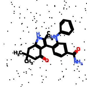 Cc1[nH]c2c(c1-c1ccc(C(N)=O)cc1Nc1ccccc1)C(=O)CC(C)(C)C2